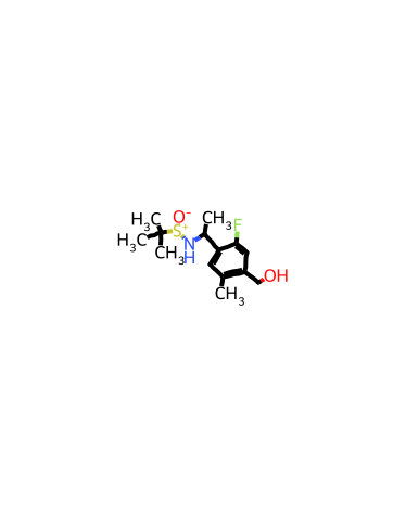 Cc1cc(C(C)N[S+]([O-])C(C)(C)C)c(F)cc1CO